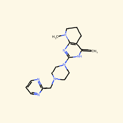 C=C1NC(N2CCN(Cc3ncccn3)CC2)=NC2=C1CCCN2C